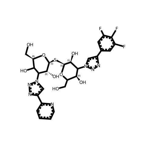 OCC1O[C@@H](S[C@@H]2O[C@H](CO)C(O)C(n3cc(-c4ccccn4)nn3)[C@H]2O)[C@@H](O)C(n2cc(-c3cc(F)c(F)c(F)c3)nn2)[C@H]1O